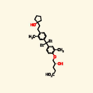 CCC(CC)(c1ccc(CCC2(O)CCCC2)c(C)c1)c1ccc(OC[C@H](O)CCC(=O)O)c(C)c1